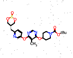 Cc1c(Oc2ccc(C[C@H]3CO[S@](=O)OC3)nc2)ncnc1OC1CCN(C(=O)OC(C)(C)C)CC1